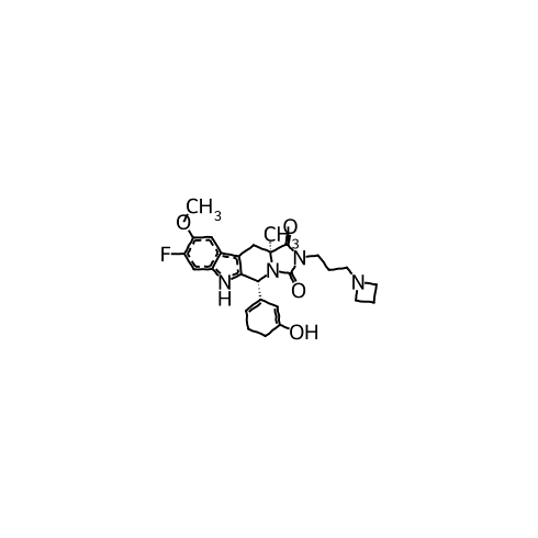 COc1cc2c3c([nH]c2cc1F)[C@@H](C1=CCCC(O)=C1)N1C(=O)N(CCCN2CCC2)C(=O)[C@]1(C)C3